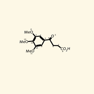 COc1cc(C(=O)CCC(=O)O)cc(OC)c1OC